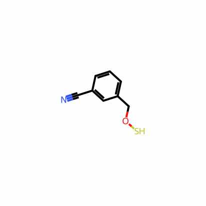 N#Cc1cccc(COS)c1